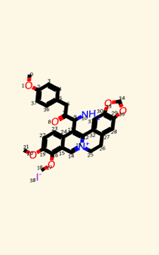 COc1ccc(CC(=O)C(N)c2c3[n+](cc4c(OC)c(OC)ccc24)CCc2cc4c(cc2-3)OCO4)cc1.[I-]